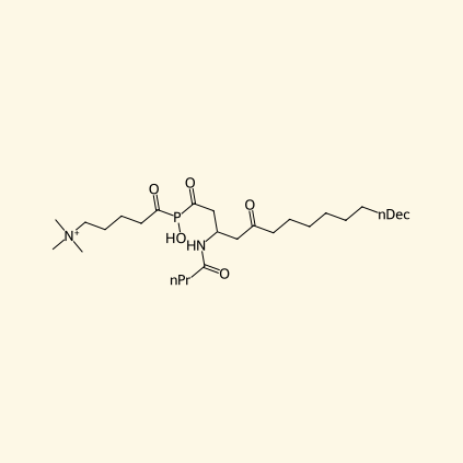 CCCCCCCCCCCCCCCCC(=O)CC(CC(=O)P(O)C(=O)CCCC[N+](C)(C)C)NC(=O)CCC